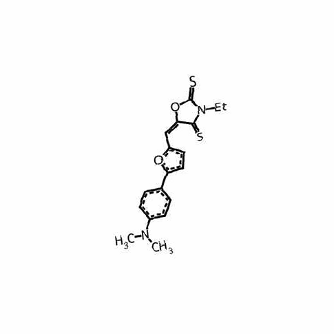 CCN1C(=S)OC(=Cc2ccc(-c3ccc(N(C)C)cc3)o2)C1=S